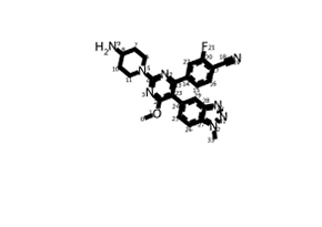 COc1nc(N2CCC(N)CC2)nc(-c2ccc(C#N)c(F)c2)c1-c1ccc2c(c1)nnn2C